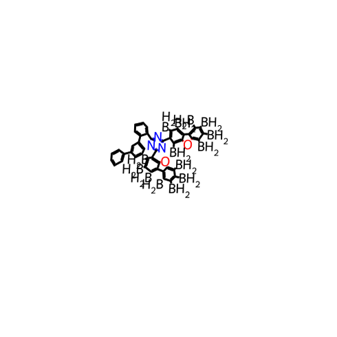 Bc1c(B)c(B)c2c(oc3c(B)c(-c4nc(-c5ccccc5-c5cccc(-c6ccccc6)c5)nc(-c5c(B)c(B)c(B)c6c5oc5c(B)c(B)c(B)c(B)c56)n4)c(B)c(B)c32)c1B